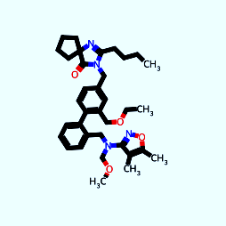 CCCCC1=NC2(CCCC2)C(=O)N1Cc1ccc(-c2ccccc2CN(COC)c2noc(C)c2C)c(COCC)c1